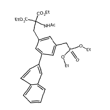 CCOC(=O)C(Cc1cc(CP(=O)(OCC)OCC)cc(-c2ccc3ccccc3c2)c1)(NC(C)=O)C(=O)OCC